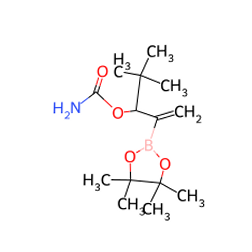 C=C(B1OC(C)(C)C(C)(C)O1)C(OC(N)=O)C(C)(C)C